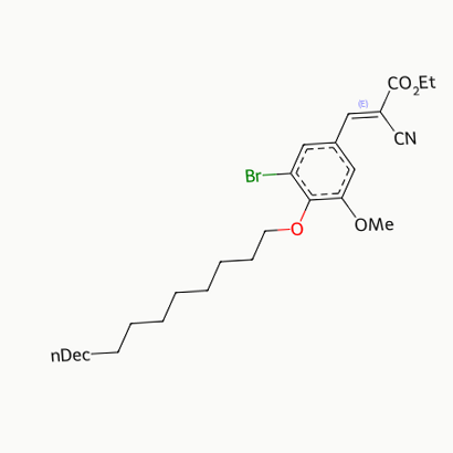 CCCCCCCCCCCCCCCCCCOc1c(Br)cc(/C=C(\C#N)C(=O)OCC)cc1OC